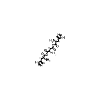 N[C@@H](Cc1cnc[nH]1)C(=O)OC(=O)C[C@H](N)C(=O)OC(=O)[C@@H](N)Cc1cnc[nH]1